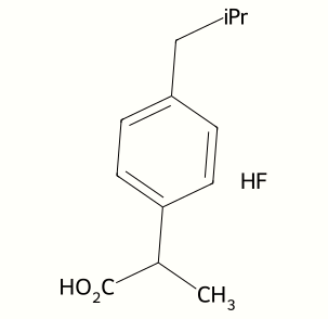 CC(C)Cc1ccc(C(C)C(=O)O)cc1.F